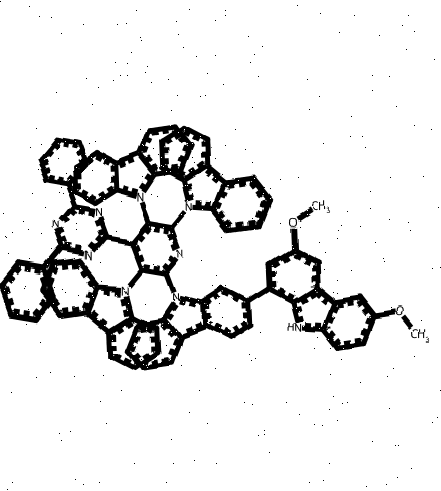 COc1ccc2[nH]c3c(-c4ccc5c6ccccc6n(-c6nc(-n7c8ccccc8c8ccccc87)c(-n7c8ccccc8c8ccccc87)c(-c7nc(-c8ccccc8)nc(-c8ccccc8)n7)c6-n6c7ccccc7c7ccccc76)c5c4)cc(OC)cc3c2c1